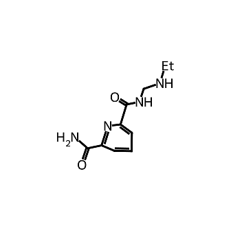 CCNCNC(=O)c1cccc(C(N)=O)n1